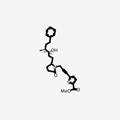 COC(=O)c1ccc(C#CCN2C(=O)CCC2CC[C@@H](O)[C@@H](C)CCc2ccccc2)s1